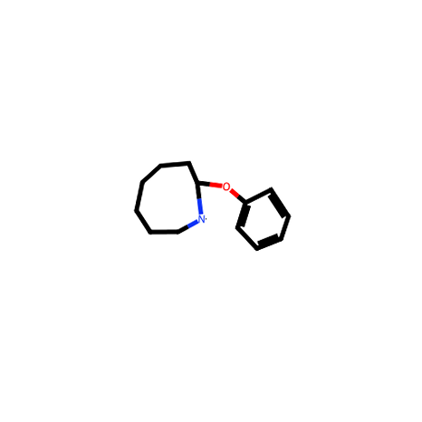 c1ccc(OC2CCCCCC[N]2)cc1